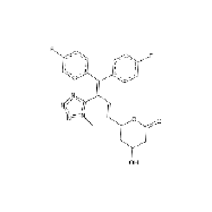 Cn1nnnc1C(C=CC1CC(O)CC(=O)O1)=C(c1ccc(F)cc1)c1ccc(F)cc1